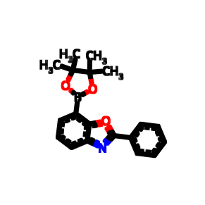 CC1(C)OB(c2cccc3nc(-c4ccccc4)oc23)OC1(C)C